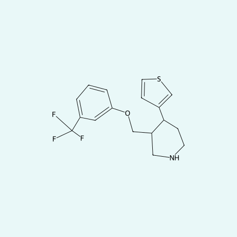 FC(F)(F)c1cccc(OCC2CNCCC2c2ccsc2)c1